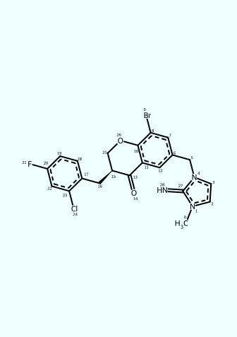 Cn1ccn(Cc2cc(Br)c3c(c2)C(=O)[C@@H](Cc2ccc(F)cc2Cl)CO3)c1=N